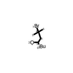 CCC(C)C([O])CC(C)(C)Br